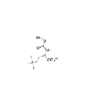 CC(F)(F)CCC(NC(=O)OC(C)(C)C)C(=O)O